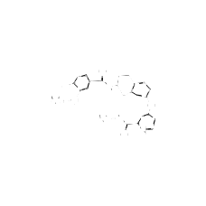 CNC(=O)c1cc(Oc2ccc3c(c2)CC(NC(=O)c2ccc(O)c(OC)c2)CC3)ccn1